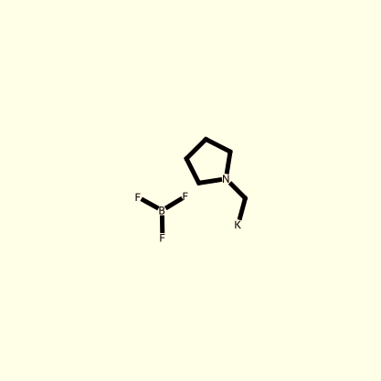 FB(F)F.[K][CH2]N1CCCC1